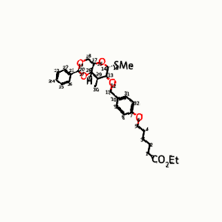 CCOC(=O)CCCCCOc1ccc(COC2[C@@H](SC)OC3COC(c4ccccc4)O[C@H]3[C@@H]2C)cc1